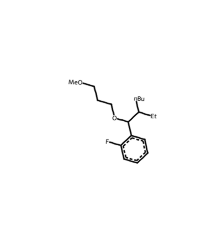 CCCCC(CC)C(OCCCOC)c1ccccc1F